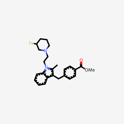 COC(=O)c1ccc(Cc2c(C)n(CCN3CCCC(F)C3)c3ccccc23)cc1